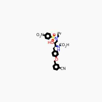 CC(C)CN(C[C@@H](O)[C@H](Cc1ccc(OCc2cccc(C#N)c2)cc1)NC(=O)O)S(=O)(=O)c1ccc([N+](=O)[O-])cc1